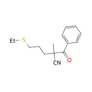 CCSCCCC(C)(C#N)C(=O)c1ccccc1